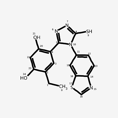 CCc1cc(-c2nnc(S)n2-c2ccc3ncsc3c2)c(O)cc1O